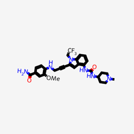 COc1cc(C(N)=O)ccc1NCC#Cc1cc2c(NC(=O)NC3CCN(C)CC3)cccc2n1CC(F)(F)F